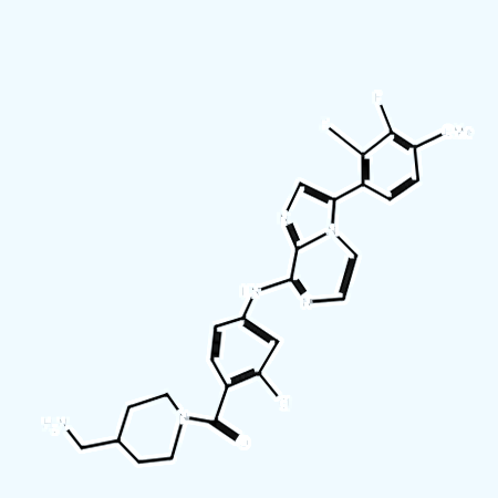 COc1ccc(-c2cnc3c(Nc4ccc(C(=O)N5CCC(CN)CC5)c(Cl)c4)nccn23)c(F)c1F